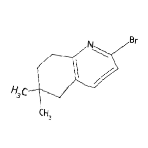 CC1(C)CCc2nc(Br)ccc2C1